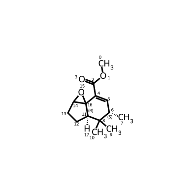 COC(=O)C1=C[C@H](C)C(C)(C)[C@H]2CCC3OC132